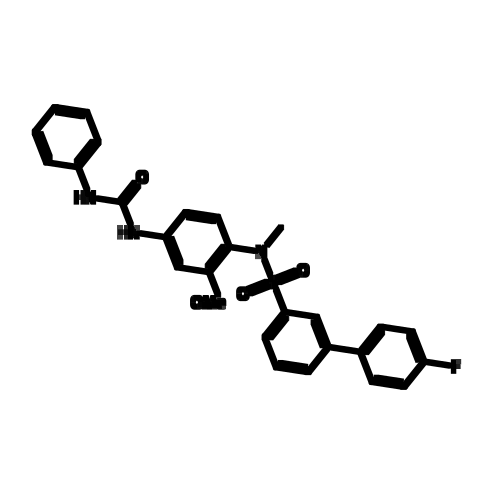 COc1cc(NC(=O)Nc2ccccc2)ccc1N(C)S(=O)(=O)c1cccc(-c2ccc(F)cc2)c1